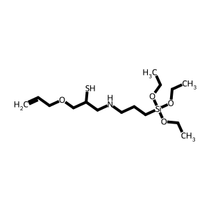 C=CCOCC(S)CNCCC[Si](OCC)(OCC)OCC